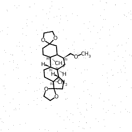 COC[C@H]1C[C@@H]2[C@H](CC[C@@]3(C)[C@H]2CCC32OCCO2)[C@@]2(C)CCC3(CC12)OCCO3